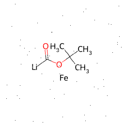 [Fe].[Li][C](=O)OC(C)(C)C